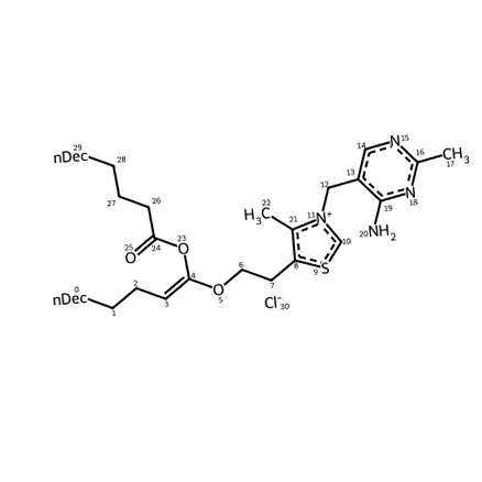 CCCCCCCCCCCCC=C(OCCc1sc[n+](Cc2cnc(C)nc2N)c1C)OC(=O)CCCCCCCCCCCCC.[Cl-]